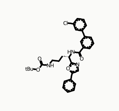 CC(C)(C)OC(=O)NCCC[C@H](NC(=O)c1cccc(-c2cccc(Cl)c2)c1)c1ncc(-c2ccccc2)o1